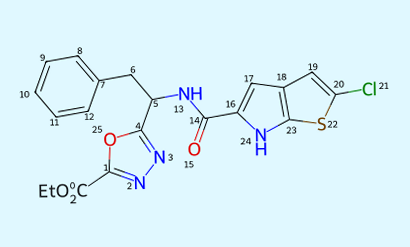 CCOC(=O)c1nnc(C(Cc2ccccc2)NC(=O)c2cc3cc(Cl)sc3[nH]2)o1